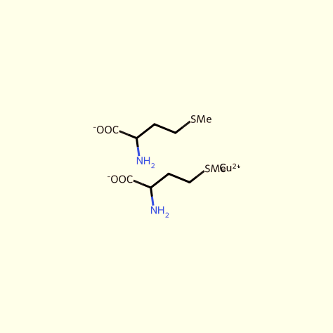 CSCCC(N)C(=O)[O-].CSCCC(N)C(=O)[O-].[Cu+2]